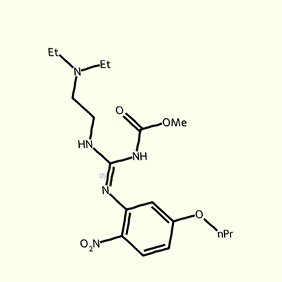 CCCOc1ccc([N+](=O)[O-])c(/N=C(/NCCN(CC)CC)NC(=O)OC)c1